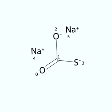 O=C([O-])[S-].[Na+].[Na+]